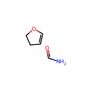 C1=COCC1.NC=O